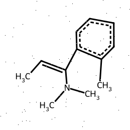 C/C=C(/c1ccccc1C)N(C)C